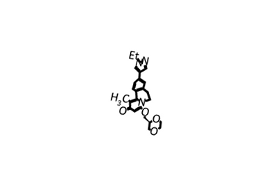 CCn1cc(-c2ccc3c(c2)CCn2c(OC[C@@H]4COCCO4)cc(=O)c(C)c2-3)cn1